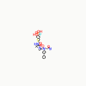 CN(C)C(=O)CCN(C(=O)[C@@H]1CCCN1C(=O)[C@@H](NC(=O)c1cc2cc(C(F)(F)P(=O)(O)O)ccc2s1)C(C)(C)C)c1ccc(-c2ccccc2)cc1